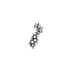 CC(C)(C)C(=O)NOC(=O)OSC1=CC2=CCC3C4CCC[C@@]4(C)CCC3[C@@]2(C)CC1